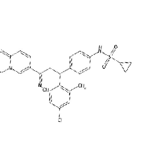 Cc1cc(Cl)ccc1C(C/C(=N\O)c1ccc(=O)n(C)c1)c1ccc(NS(=O)(=O)C2CC2)cc1